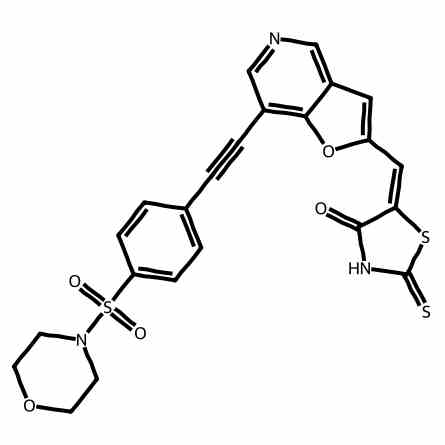 O=C1NC(=S)SC1=Cc1cc2cncc(C#Cc3ccc(S(=O)(=O)N4CCOCC4)cc3)c2o1